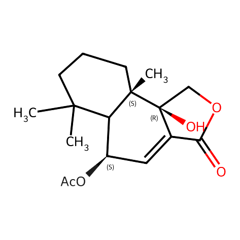 CC(=O)O[C@@H]1C=C2C(=O)OC[C@@]2(O)[C@@]2(C)CCCC(C)(C)C12